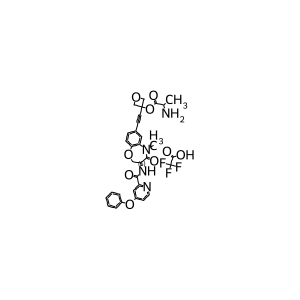 CC(N)C(=O)OC1(C#Cc2ccc3c(c2)N(C)C(=O)[C@@H](NC(=O)c2cc(Oc4ccccc4)ccn2)CO3)COC1.O=C(O)C(F)(F)F